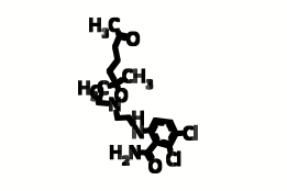 CC(=O)CCCC(C)(C)ON(C=O)CCNc1ccc(Cl)c(Cl)c1C(N)=O